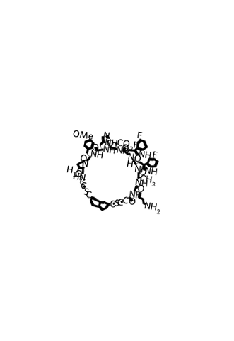 COc1ccc(C[C@@H]2NC(=O)[C@H](Cc3cnc[nH]3)NC(=O)[C@H](CC(=O)O)NC(=O)[C@H](Cc3c[nH]c4ccc(F)cc34)NC(=O)[C@H](Cc3c[nH]c4ccc(F)cc34)NC(=O)[C@@H](C)NC(=O)[C@H](CCCCN)NC(=O)CCSCc3ccc4ccc(cc4c3)CSCCNC(=O)[C@]3(C)CCCN3C2=O)cc1